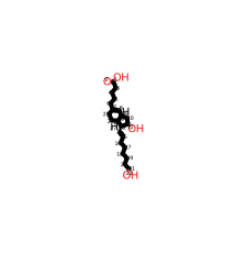 O=C(O)CCCCC1=C[C@@H]2C[C@@H](O)[C@@H](C=CCCCCCCO)[C@H]2CC1